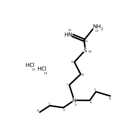 CCCN(CCC)CCCSC(=N)N.Cl.Cl